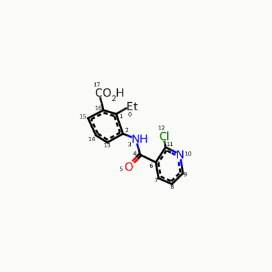 CCc1c(NC(=O)c2cccnc2Cl)cccc1C(=O)O